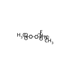 COC(=O)c1ccc(-c2ccc3c(c2)C[C@@H](F)N(CCN2CCCC2C)C3=O)cc1